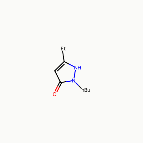 CCCCn1[nH]c(CC)cc1=O